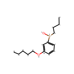 [CH2]CCC[S+]([O-])c1cccc(OCCCCC)c1